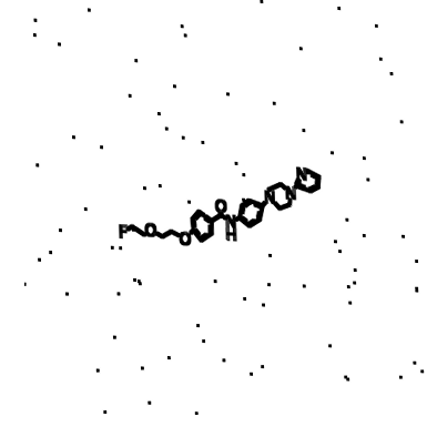 O=C(Nc1ccc(N2CCN(c3ccccn3)CC2)cc1)c1ccc(OCCOCCF)cc1